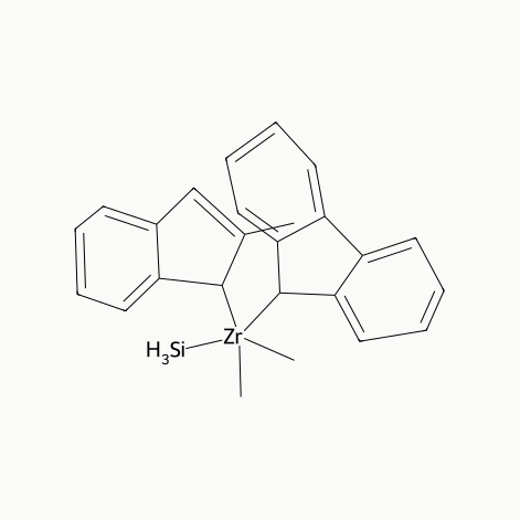 CC1=Cc2ccccc2[CH]1[Zr]([CH3])([CH3])([SiH3])[CH]1c2ccccc2-c2ccccc21